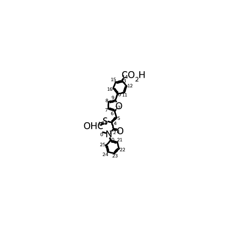 CN(C(=O)/C(=C/c1ccc(-c2ccc(C(=O)O)cc2)o1)SC=O)c1ccccc1